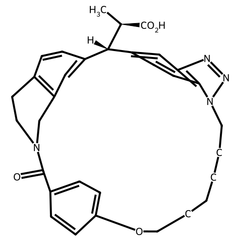 C[C@@H](C(=O)O)[C@H]1c2ccc3c(c2)CN(CC3)C(=O)c2ccc(cc2)OCCCCCCn2nnc3cc1ccc32